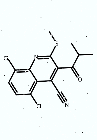 CSc1nc2c(Cl)ccc(Cl)c2c(C#N)c1C(=O)C(C)C